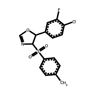 Cc1ccc(S(=O)(=O)C2N=COC2c2ccc(Cl)c(F)c2)cc1